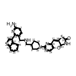 Nc1ccc(CNCC2CCN(c3nccc(/C=C4/SC(=O)NC4=O)n3)CC2)c(-c2csc3ccccc23)n1